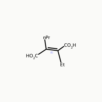 CCC/C(C(=O)O)=C(/CC)C(=O)O